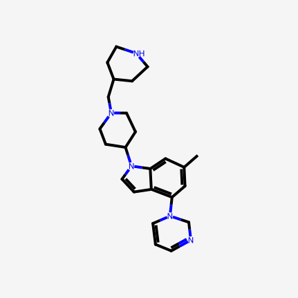 Cc1cc(N2C=CC=NC2)c2ccn(C3CCN(CC4CCNCC4)CC3)c2c1